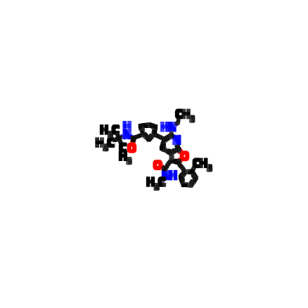 CCNc1nc2oc(-c3ccccc3C)c(C(=O)NC)c2cc1-c1cccc(C(=O)NC(C)(C)C)c1